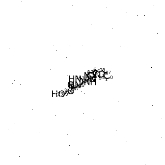 CCC(Cn1ccc2cnc(N/C(C=N)=C/NCC(=O)OCCO)nc21)C(C)C